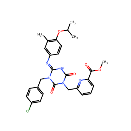 COC(=O)c1cccc(Cn2c(=O)[nH]/c(=N\c3ccc(OC(C)C)c(C)c3)n(Cc3ccc(Cl)cc3)c2=O)n1